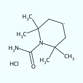 CC1(C)C[CH]CC(C)(C)N1C(N)=O.Cl